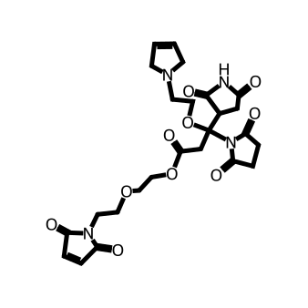 O=C1CC(C(CC(=O)OCCOCCN2C(=O)C=CC2=O)(OCCN2CC=CC2)N2C(=O)CCC2=O)C(=O)N1